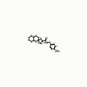 CC(C)(C)c1ccc(CNC(=O)C2=NOC3(CCC4CCCCC4C3)C2)cc1